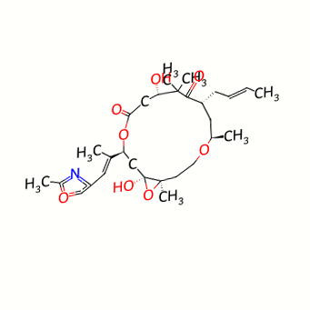 CC=CC[C@@H]1C[C@@H](C)OCC[C@@]2(C)O[C@@]2(O)C[C@@H](C(C)=Cc2coc(C)n2)OC(=O)C[C@H](O)C(C)(C)C1=O